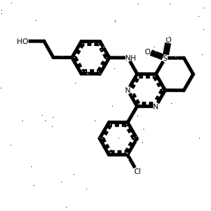 O=S1(=O)CCCc2nc(-c3cccc(Cl)c3)nc(Nc3ccc(CCO)cc3)c21